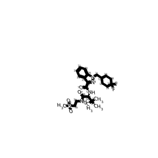 CC(C)(C)[C@H](NC(=O)c1nn(CC2CCC(F)(F)CC2)c2ccccc12)C(=O)NCCS(C)(=O)=O